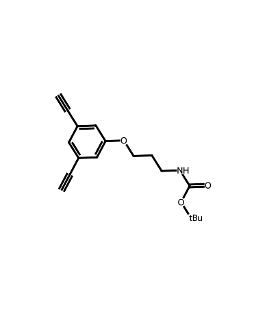 C#Cc1cc(C#C)cc(OCCCNC(=O)OC(C)(C)C)c1